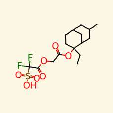 CCC1(OC(=O)COC(=O)C(F)(F)S(=O)(=O)O)CCC2CC(C)CC1C2